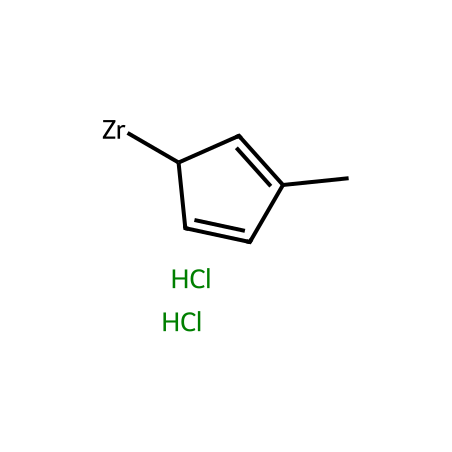 CC1=C[CH]([Zr])C=C1.Cl.Cl